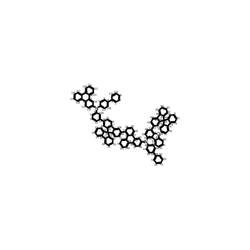 c1ccc(-c2ccc(N(c3cccc(-c4ccc5c(c4)C4(c6ccccc6-c6ccccc64)c4ccc(-c6cccc7c8cc(N(c9ccc(-c%10ccccc%10)cc9)c9ccc(-c%10ccc%11c(c%10)C%10(c%12ccccc%12-c%12ccccc%12%10)c%10ccccc%10-%11)c%10oc%11ccccc%11c9%10)ccc8c8ccccc8c67)cc4-5)c3)c3ccc4c5ccccc5c5ccccc5c4c3)cc2)cc1